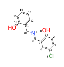 Oc1ccc(Cl)cc1C=NCc1ccccc1O